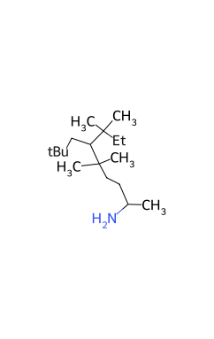 CCC(C)(C)C(CC(C)(C)C)C(C)(C)CCC(C)N